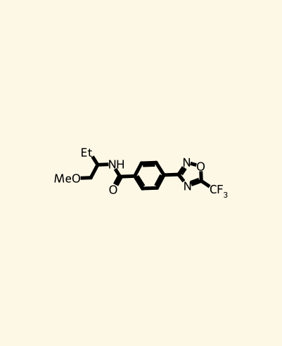 CCC(COC)NC(=O)c1ccc(-c2noc(C(F)(F)F)n2)cc1